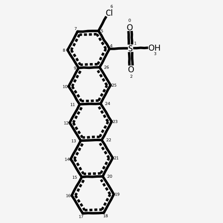 O=S(=O)(O)c1c(Cl)ccc2cc3cc4cc5ccccc5cc4cc3cc12